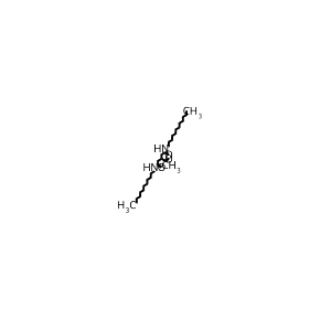 CCCCCCCCCCCCNC(=O)CC(CC(=O)NCCCCCCCCCCCC)C(C)=O